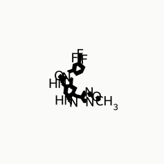 COc1ncc(-c2n[nH]c3cc4c(cc23)CN(Cc2cccc(C(F)(F)F)c2)C(=O)N4)cn1